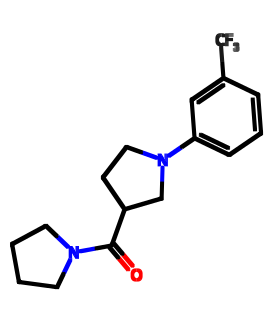 O=C(C1CCN(c2cccc(C(F)(F)F)c2)C1)N1CCCC1